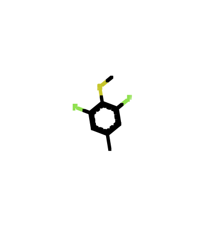 CSc1c(F)cc(C)cc1F